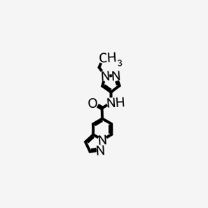 CCn1cc(NC(=O)c2ccn3nccc3c2)cn1